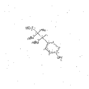 CCCCC(CCCC)(C(=O)O)C(C)(CCCC)c1ccc(O)cc1